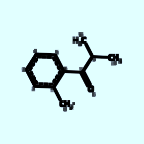 [CH2]c1ccccc1C(=O)C(C)C